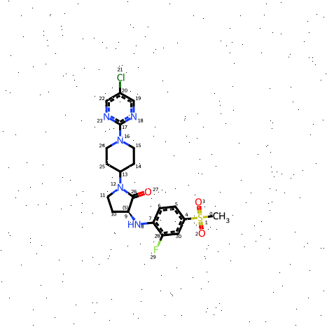 CS(=O)(=O)c1ccc(N[C@H]2CCN(C3CCN(c4ncc(Cl)cn4)CC3)C2=O)c(F)c1